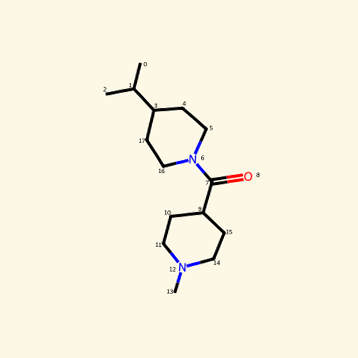 CC(C)C1CCN(C(=O)C2CCN(C)CC2)CC1